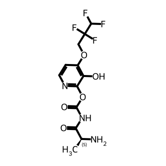 C[C@H](N)C(=O)NC(=O)Oc1nccc(OCC(F)(F)C(F)F)c1O